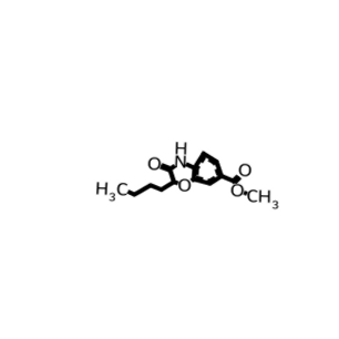 CCCCC1Oc2cc(C(=O)OC)ccc2NC1=O